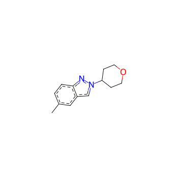 Cc1ccc2nn(C3CCOCC3)cc2c1